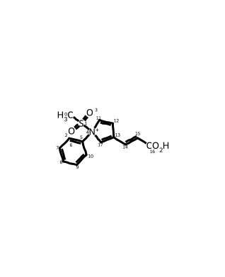 CS(=O)(=O)[N+]1(c2ccccc2)C=CC(/C=C/C(=O)O)=C1